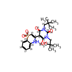 CC(C)(C)Cn1c(O)c(C2=CS(=O)(=O)c3ccccc3N2)c(=O)n(CC(C)(C)C)c1=O